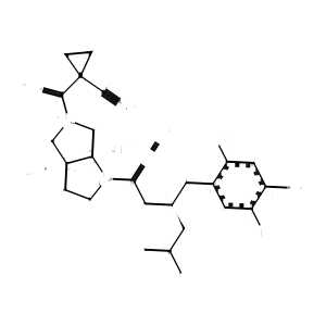 C[C](C)C[C@@H](CC(=C=O)N1CC[C@H]2CN(C(=O)C3(C#N)CC3)C[C@H]21)Cc1cc(F)c(F)cc1F